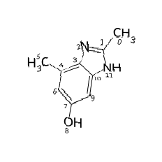 Cc1nc2c(C)cc(O)cc2[nH]1